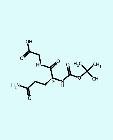 CC(C)(C)OC(=O)N[C@@H](CCC(N)=O)C(=O)NCC(=O)O